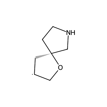 [CH]1CO[C@@]2(C1)CCNC2